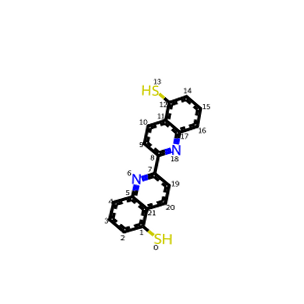 Sc1cccc2nc(-c3ccc4c(S)cccc4n3)ccc12